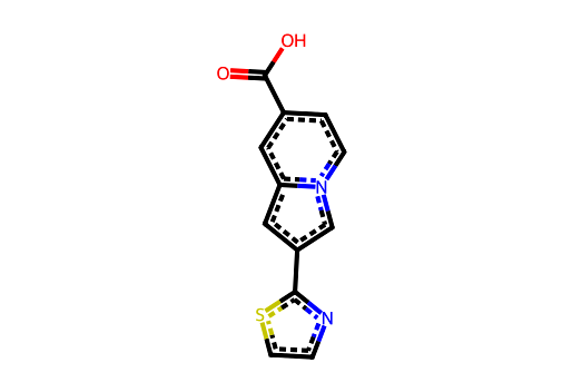 O=C(O)c1ccn2cc(-c3nccs3)cc2c1